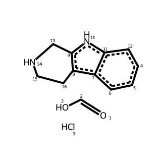 Cl.O=CO.c1ccc2c3c([nH]c2c1)CNCC3